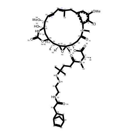 COc1cc2cc(c1Cl)N(C)C(=O)C[C@H](OC(=O)[C@H](C)N(C)C(=O)CCC(C)(C)SSCCNC(=O)CC1CC3C=CC1C3)[C@]1(C)O[C@H]1[C@H](C)[C@@H]1C[C@@](O)(NC(=O)O1)[C@H](OC)/C=C/C=C(\C)C2